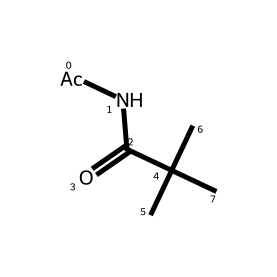 CC(=O)NC(=O)C(C)(C)C